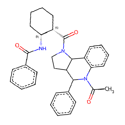 CC(=O)N1c2ccccc2C2C(CCN2C(=O)[C@H]2CCCC[C@H]2NC(=O)c2ccccc2)C1c1ccccc1